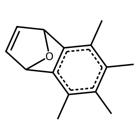 Cc1c(C)c(C)c2c(c1C)C1C=CC2O1